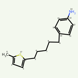 Cc1ccc(CCCCCc2ccc(N)cc2)s1